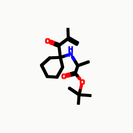 C=C(C)C(=O)C1(NC(C)C(=O)OC(C)(C)C)CCCCC1